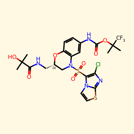 CC(C)(O)C(=O)NC[C@H]1CN(S(=O)(=O)c2c(Cl)nc3sccn23)c2cc(NC(=O)OC(C)(C)C(F)(F)F)ccc2O1